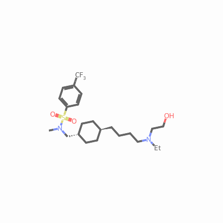 CCN(CCO)CCCC[C@H]1CC[C@H](CN(C)S(=O)(=O)c2ccc(C(F)(F)F)cc2)CC1